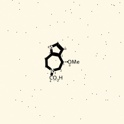 CO[C@@H]1CN(C(=O)O)CCc2sccc21